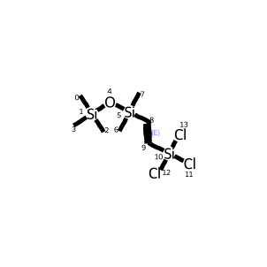 C[Si](C)(C)O[Si](C)(C)/C=C/[Si](Cl)(Cl)Cl